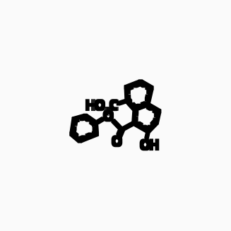 O=C(O)c1cccc2ccc(O)c(C(=O)Oc3ccccc3)c12